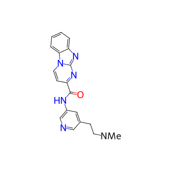 CNCCc1cncc(NC(=O)c2ccn3c(n2)nc2ccccc23)c1